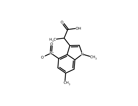 Cc1cc([N+](=O)[O-])c2c(C(C)C(=O)O)cn(C)c2c1